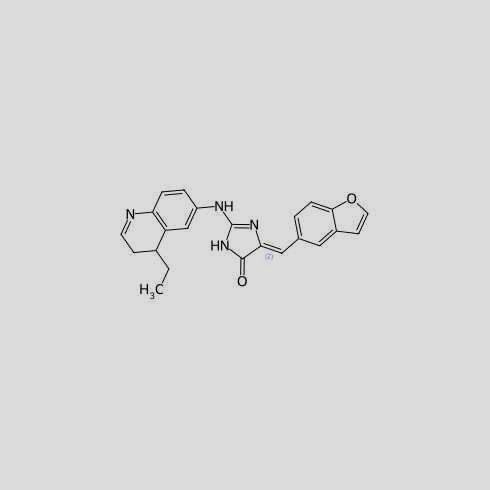 CCC1CC=Nc2ccc(NC3=N/C(=C\c4ccc5occc5c4)C(=O)N3)cc21